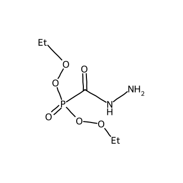 CCOOP(=O)(OOCC)C(=O)NN